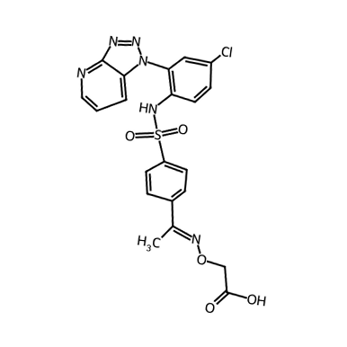 CC(=NOCC(=O)O)c1ccc(S(=O)(=O)Nc2ccc(Cl)cc2-n2nnc3ncccc32)cc1